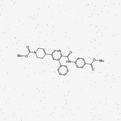 CC(C)(C)OC(=O)c1ccc(NC(=O)c2ncc(C3=CCN(C(=O)OC(C)(C)C)CC3)cc2-c2ccccc2)cc1